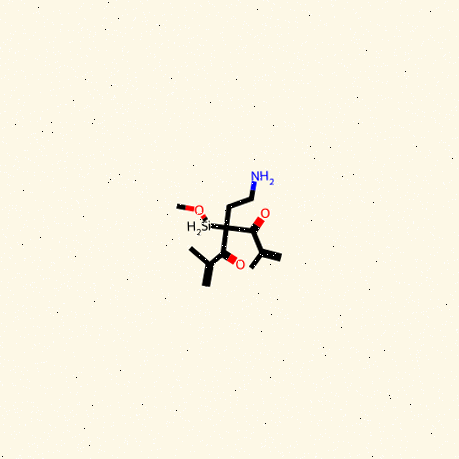 C=C(C)C(=O)C(CCN)([SiH2]OC)C(=O)C(=C)C